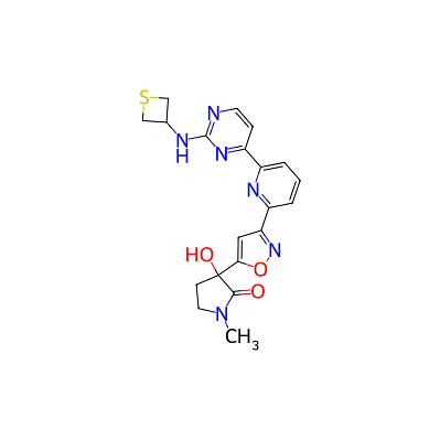 CN1CCC(O)(c2cc(-c3cccc(-c4ccnc(NC5CSC5)n4)n3)no2)C1=O